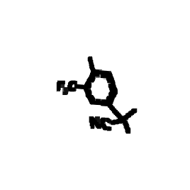 Cc1ccc(C(C)(C)C#N)cc1C(F)(F)F